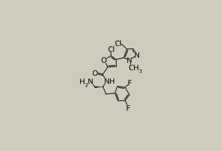 Cn1ncc(Cl)c1-c1cc(C(=O)N[C@H](CN)Cc2cc(F)cc(F)c2)oc1Cl